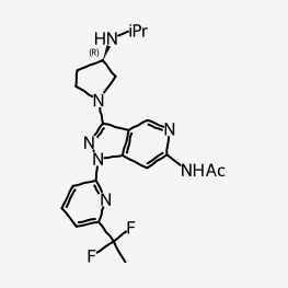 CC(=O)Nc1cc2c(cn1)c(N1CC[C@@H](NC(C)C)C1)nn2-c1cccc(C(C)(F)F)n1